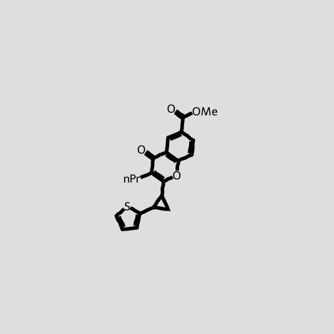 CCCc1c(C2CC2c2cccs2)oc2ccc(C(=O)OC)cc2c1=O